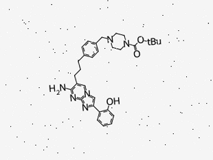 CC(C)(C)OC(=O)N1CCN(Cc2ccc(CCCc3cn4cc(-c5ccccc5O)nc4nc3N)cc2)CC1